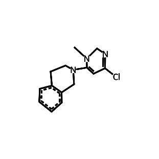 CN1CN=C(Cl)C=C1N1CCc2ccccc2C1